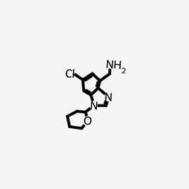 NCc1cc(Cl)cc2c1ncn2C1CCCCO1